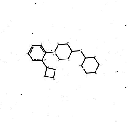 [c]1ccc(N2CCC(CC3CCCCC3)CC2)c(C2CCC2)c1